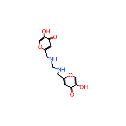 O=c1cc(CNCNCc2cc(=O)c(O)co2)occ1O